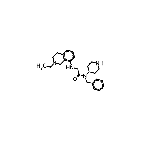 CCN1CCc2cccc(NCC(=O)N(Cc3ccccc3)C3CCNCC3)c2C1